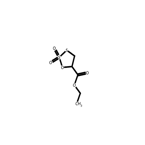 CCOC(=O)C1CSS(=O)(=O)O1